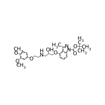 COc1ccc(OCCNCC(O)COc2cccc3c2c(C)nn3C(=O)OC(C)(C)C)cc1OC